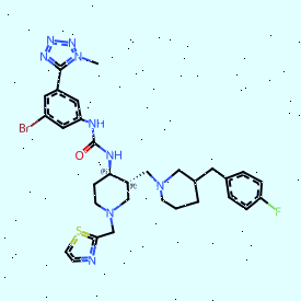 Cn1nnnc1-c1cc(Br)cc(NC(=O)N[C@@H]2CCN(Cc3nccs3)C[C@H]2CN2CCCC(Cc3ccc(F)cc3)C2)c1